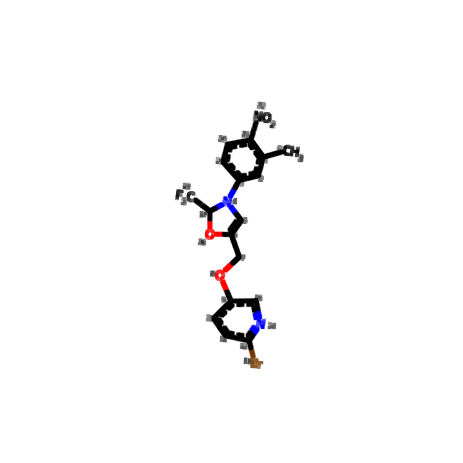 Cc1cc(N2C=C(COc3ccc(Br)nc3)OC2C(F)(F)F)ccc1[N+](=O)[O-]